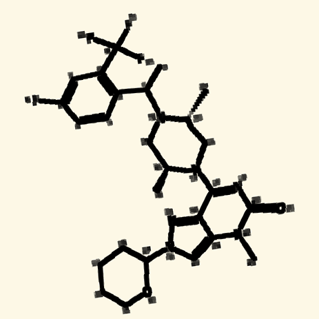 CC(c1ccc(F)cc1C(F)(F)F)N1C[C@H](C)N(c2nc(=O)n(C)c3cn(C4CCCCO4)nc23)C[C@H]1C